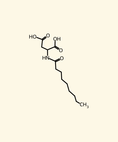 CCCCCCCCC(=O)NC(CC(=O)O)C(=O)O